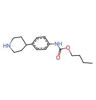 CCCCOC(=O)Nc1ccc(C2CCNCC2)cc1